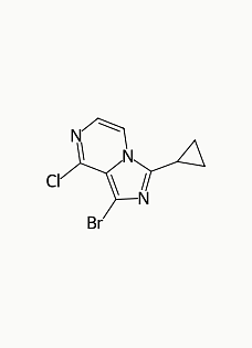 Clc1nccn2c(C3CC3)nc(Br)c12